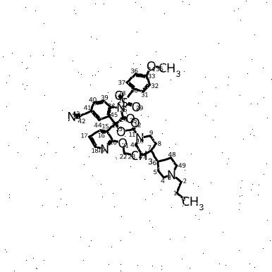 CCCN1CCC(C2CCN(C(=O)OC3(c4cccnc4OCC)C(=O)N(S(=O)(=O)c4ccc(OC)cc4)c4ccc(C#N)cc43)CC2)CC1